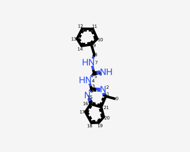 Cc1nc(NC(=N)NCc2ccccc2)nc2ccccc12